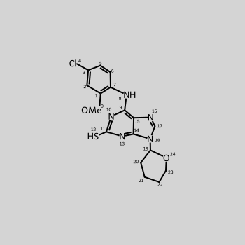 COc1cc(Cl)ccc1Nc1nc(S)nc2c1ncn2C1CCCCO1